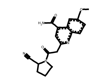 COc1ccc2nc(CC(=O)N3CCCC3C#N)cc(C(N)=O)c2c1